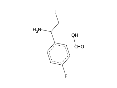 NC(CI)c1ccc(F)cc1.O=CO